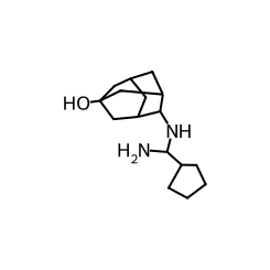 NC(NC1C2CC3CC1CC(O)(C3)C2)C1CCCC1